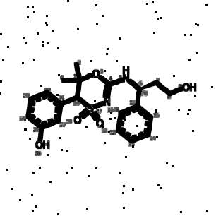 CC1(C)OC(N[C@@H](CCO)c2ccccc2)=NS(=O)(=O)C1c1cccc(O)c1